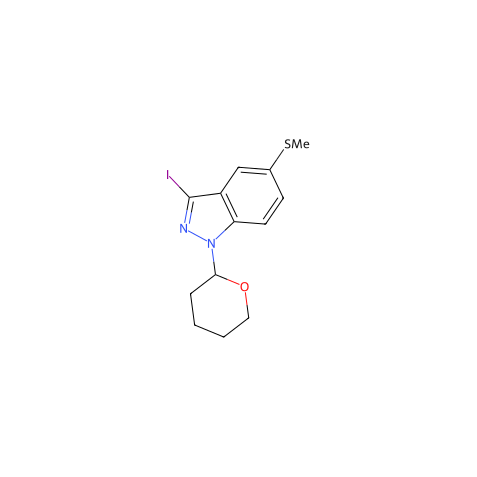 CSc1ccc2c(c1)c(I)nn2C1CCCCO1